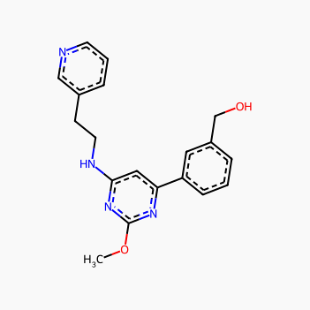 COc1nc(NCCc2cccnc2)cc(-c2cccc(CO)c2)n1